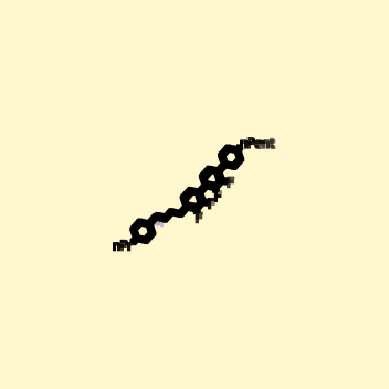 CCCCCC1CCC(c2ccc(-c3ccc(CC/C=C/C4CCC(CCC)CC4)c(F)c3F)c(F)c2F)CC1